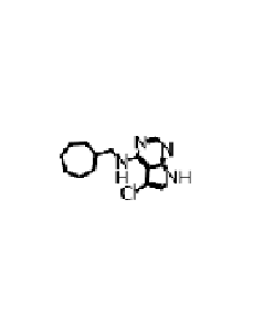 Clc1c[nH]c2ncnc(NCC3CCCCCC3)c12